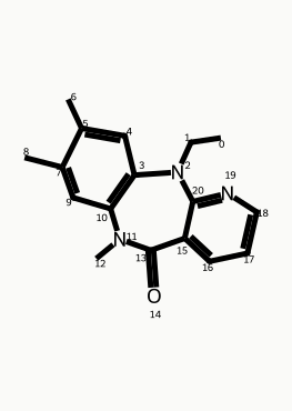 CCN1c2cc(C)c(C)cc2N(C)C(=O)c2cccnc21